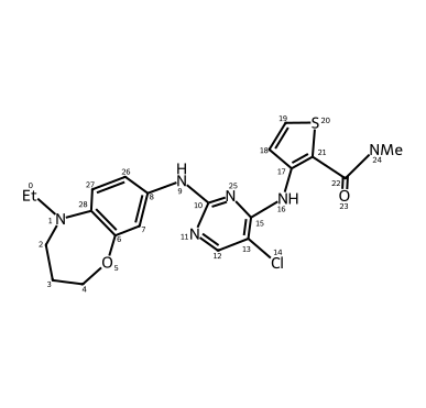 CCN1CCCOc2cc(Nc3ncc(Cl)c(Nc4ccsc4C(=O)NC)n3)ccc21